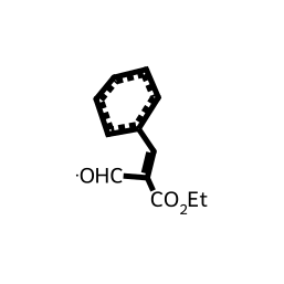 CCOC(=O)C([C]=O)=Cc1ccccc1